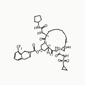 O=C(NC1CCCC1)N[C@H]1CCCCC/C=C\[C@@H]2C[C@@]2(C(=O)NS(=O)(=O)C2CC2)NC(=O)[C@@H]2C[C@@H](OC(=O)N3CCc4cccc(C(F)(F)F)c4C3)CN2C1=O